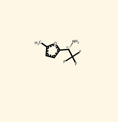 Cc1ccc([C@H](N)C(F)(F)F)o1